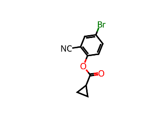 N#Cc1cc(Br)ccc1OC(=O)C1CC1